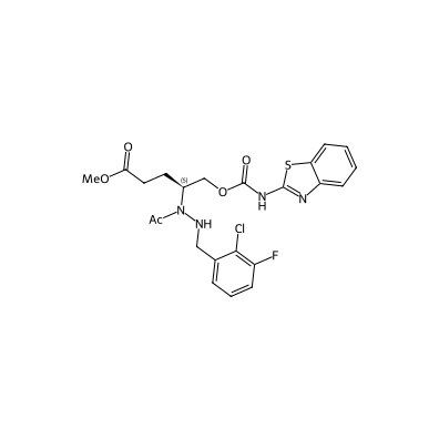 COC(=O)CC[C@@H](COC(=O)Nc1nc2ccccc2s1)N(NCc1cccc(F)c1Cl)C(C)=O